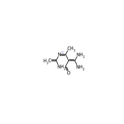 C=C(N)/N=C(/C)C(C=O)=C(N)N